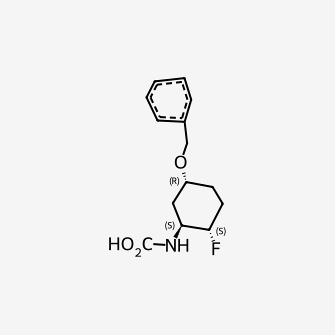 O=C(O)N[C@H]1C[C@H](OCc2ccccc2)CC[C@@H]1F